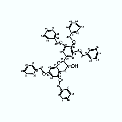 OC1Cc2c(OCc3ccccc3)cc(OCc3ccccc3)cc2OC1c1cc(OCc2ccccc2)c(OCc2ccccc2)c(OCc2ccccc2)c1